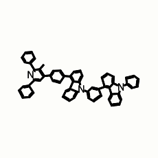 Cc1c(-c2ccc(-c3cccc4c3c3ccccc3n4-c3cccc(-c4cccc5c4c4ccccc4n5-c4ccccc4)c3)cc2)cc(-c2ccccc2)nc1-c1ccccc1